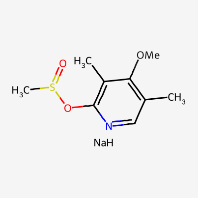 COc1c(C)cnc(OS(C)=O)c1C.[NaH]